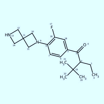 CCC(C(=O)c1ccc(N2CC3(CNC3)C2)c(F)c1)C(C)(C)C